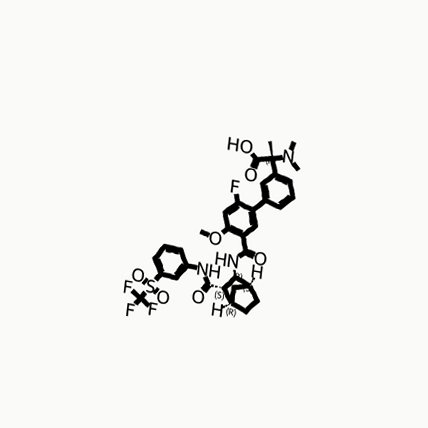 COc1cc(F)c(-c2cccc([C@](C)(C(=O)O)N(C)C)c2)cc1C(=O)N[C@@H]1[C@H]2CC[C@H](C2)[C@@H]1C(=O)Nc1cccc(S(=O)(=O)C(F)(F)F)c1